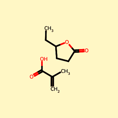 C=C(C)C(=O)O.CCC1CCC(=O)O1